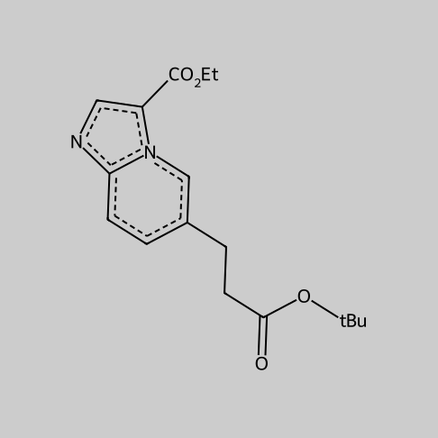 CCOC(=O)c1cnc2ccc(CCC(=O)OC(C)(C)C)cn12